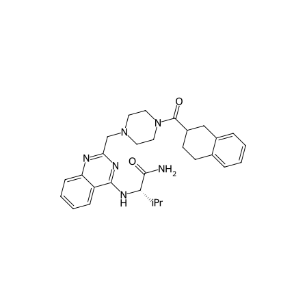 CC(C)[C@H](Nc1nc(CN2CCN(C(=O)C3CCc4ccccc4C3)CC2)nc2ccccc12)C(N)=O